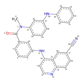 CN(C(=O)c1cccc(Nc2ccnc3ccc(C#N)cc23)c1)c1cccc(Nc2ccccc2)c1